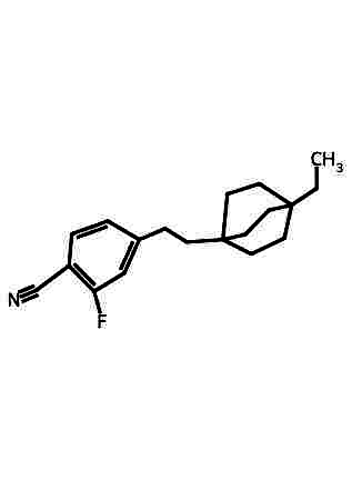 CCC12CCC(CCc3ccc(C#N)c(F)c3)(CC1)CC2